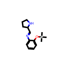 C[Si](C)(C)Oc1ccccc1N=CC1CCCN1